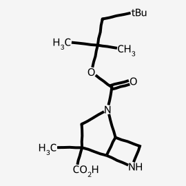 CC(C)(C)CC(C)(C)OC(=O)N1CC(C)(C(=O)O)C2NCC21